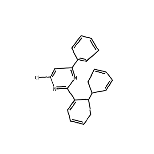 Clc1cc(-c2ccccc2)nc(C2=CC=CCC2C2C=CC=CC2)n1